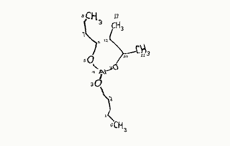 CCC[O][Al]([O]CCC)[O]C(C)CC